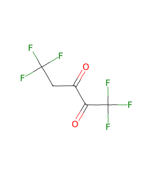 O=C(CC(F)(F)F)C(=O)C(F)(F)F